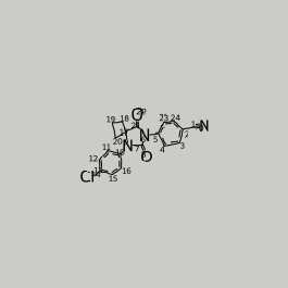 N#Cc1ccc(N2C(=O)N(c3ccc(Cl)cc3)C3(CCC3)C2=O)cc1